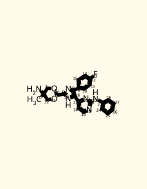 CC1(N)COC(c2nc(-c3ccc(F)cc3)c(-c3ccnc(Nc4ccccc4)n3)[nH]2)OC1